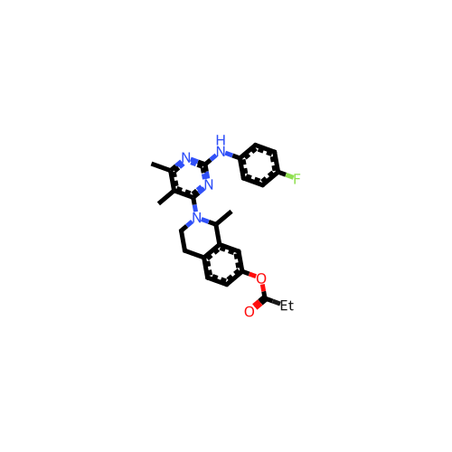 CCC(=O)Oc1ccc2c(c1)C(C)N(c1nc(Nc3ccc(F)cc3)nc(C)c1C)CC2